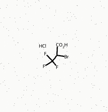 Cl.O=C(O)C(Br)C(F)(F)F